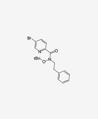 CC(C)(C)ON(CCc1ccccc1)C(=O)c1ccc(Br)cn1